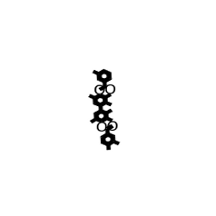 Cc1cccc(C(=O)Oc2c(C)cc(-c3cc(C)c(OC(=O)c4ccc(C)c(C)c4)c(C)c3C)c(C)c2C)c1